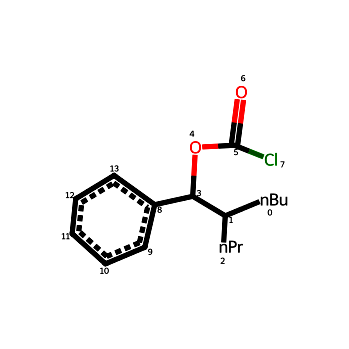 CCCCC(CCC)C(OC(=O)Cl)c1ccccc1